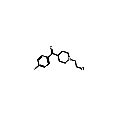 O=C(c1ccc(F)cc1)C1CCN(CCCl)CC1